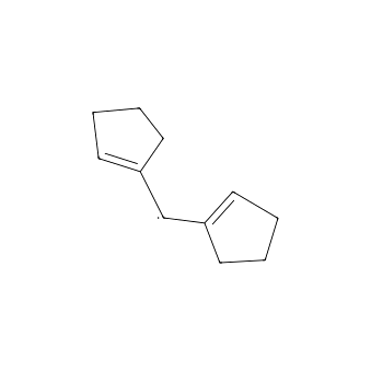 [CH](C1=CCCC1)C1=CCCC1